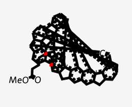 COC(=O)CCCC(c1ccccc1)[C@@H]1CC23c4c5c6c7cc8c9c%10c(cc%11cc%12c%13c%14c(cc%15c%16ccc%17c(c%16c%16c2c2c4c(c69)c4c%10c%11c%13c4c2c%14c%15%16)C13c1c-%17ccc(c1-5)C7)C%12)C8